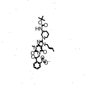 CC=CCn1c(N2CCC[C@H](NC(=O)OC(C)(C)C)C2)nc2c1c(=O)n(CC(=O)c1ccccc1[N+](=O)[O-])c(=O)n2C